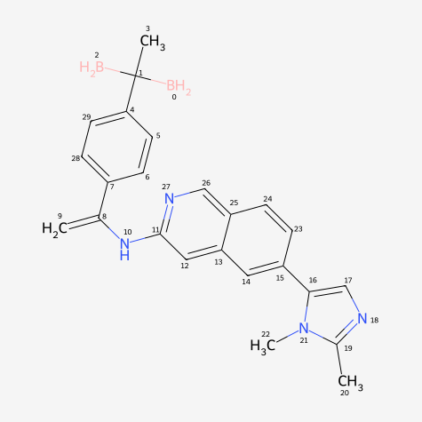 BC(B)(C)c1ccc(C(=C)Nc2cc3cc(-c4cnc(C)n4C)ccc3cn2)cc1